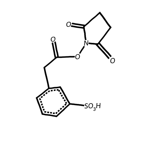 O=C(Cc1cccc(S(=O)(=O)O)c1)ON1C(=O)CCC1=O